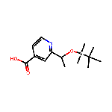 CC(O[Si](C)(C)C(C)(C)C)c1cc(C(=O)O)ccn1